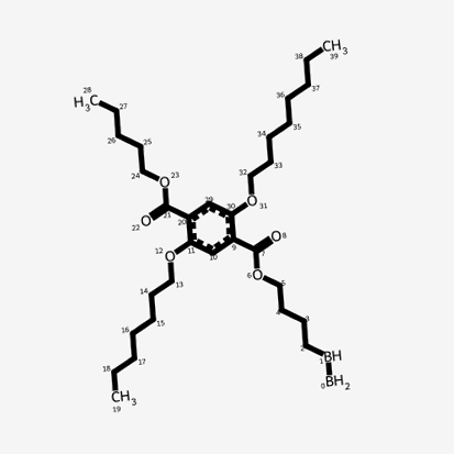 BBCCCCOC(=O)c1cc(OCCCCCCC)c(C(=O)OCCCCC)cc1OCCCCCCCC